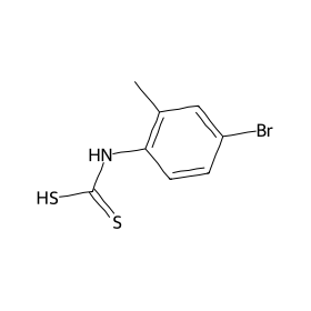 Cc1cc(Br)ccc1NC(=S)S